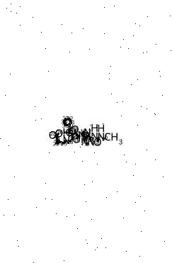 CCNC(=O)Nc1ncnc2c1ncn2C1OC(CNCC2CC2C(=O)O)C2O[C@H](c3ccccc3)OC21